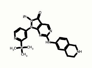 CC(C)n1c(=O)c2cnc(Nc3ccc4c(c3)CCNC4)nc2n1-c1ccnc(S(C)(C)C)c1